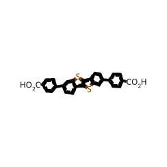 O=C(O)c1ccc(-c2ccc3c(c2)sc2c4ccc(-c5ccc(C(=O)O)cc5)cc4sc32)cc1